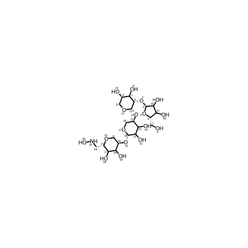 OC[C@@H]1O[C@@H](O[C@H]2C(O)[C@H](O)CO[C@H]2O[C@@H]2CO[C@@H](O[C@@H]3CO[C@@H](CNO)C(O)C3O)C(O)C2O)C(O)C1O